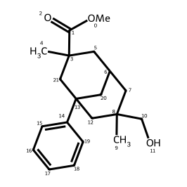 COC(=O)C1(C)CC2CC(C)(CO)CC(c3ccccc3)(C2)C1